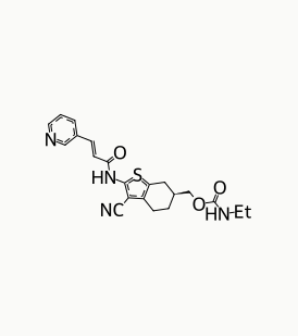 CCNC(=O)OC[C@H]1CCc2c(sc(NC(=O)/C=C/c3cccnc3)c2C#N)C1